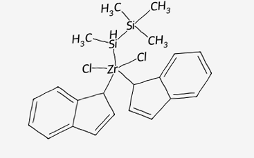 C[SiH]([Si](C)(C)C)[Zr]([Cl])([Cl])([CH]1C=Cc2ccccc21)[CH]1C=Cc2ccccc21